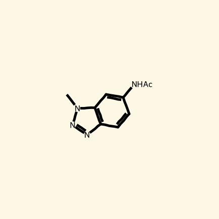 CC(=O)Nc1ccc2nnn(C)c2c1